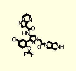 O=C(Nc1cn(CC(=O)N2CC3CNCC3C2)nc1-c1cc(Cl)ccc1OC(F)F)c1cnn2cccnc12